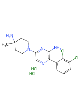 CC1(N)CCN(c2cnc(-c3cccc(Cl)c3Cl)c(N)n2)CC1.Cl.Cl